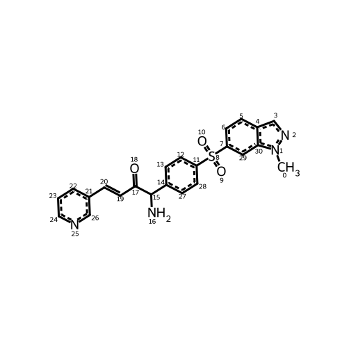 Cn1ncc2ccc(S(=O)(=O)c3ccc(C(N)C(=O)/C=C/c4cccnc4)cc3)cc21